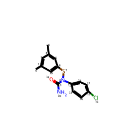 Cc1cc(C)cc(SN(C(N)=O)c2ccc(Cl)cc2)c1